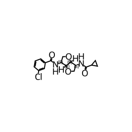 O=C(N[C@H]1CO[C@H]2[C@@H]1OC[C@@H]2NC(=O)C1CC1)c1cccc(Cl)c1